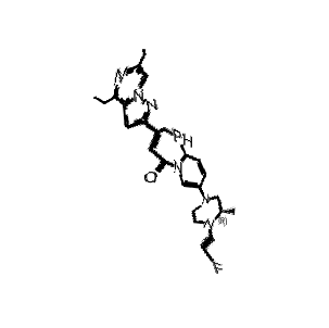 CCc1nc(C)cn2nc(C3=CC(=O)N4C=C(N5CCN(CCF)[C@H](C)C5)C=CC4P3)cc12